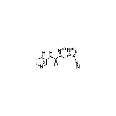 N#Cc1ccn2cnc(C(=O)NC3CN4CC[C@H]3C4)cc12